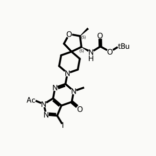 CC(=O)n1nc(I)c2c(=O)n(C)c(N3CCC4(CC3)CO[C@@H](C)[C@H]4NC(=O)OC(C)(C)C)nc21